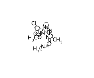 CN=C[C@H]1CCN(c2nc3cc([C@@H]4CCCCN4C(=O)c4cc(Cl)ccc4NS(C)(=O)=O)nn3cc2C)C1